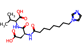 CC(C)[C@H](NC(=O)[C@H](CC(=O)O)NC(=O)CCCCCCCn1ccnc1)C(=O)O